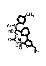 CCCCOC(=O)NS(=O)(=O)c1sc(CC(C)C)cc1-c1cccc(CN(C(C)=O)c2ccc(C)cc2)c1